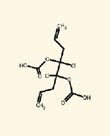 C=CCC(Cl)(OC(=O)O)C(Cl)(CC=C)OC(=O)O